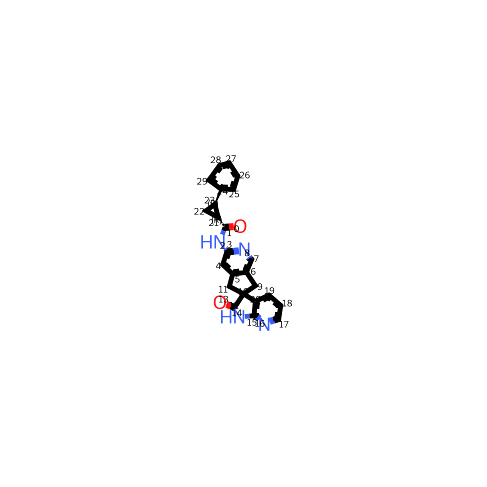 O=C(Nc1cc2c(cn1)CC1(C2)C(=O)Nc2ncccc21)[C@@H]1C[C@H]1c1ccccc1